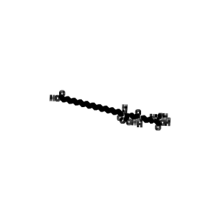 O=C(O)CCCCCCCCCCCCCCCCCCC(=O)N[C@@H](CCC(=O)NCCCC[C@H](NP)C(=O)O)C(=O)O